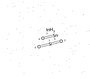 O=[Si]=O.[InH3].[O]=[Sn]